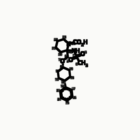 CS(=O)(=O)NC1(CO[C@H]2CC[C@@H](c3ccccc3)CC2)CCCCN1C(=O)O